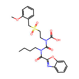 CCCCN(C(=O)c1nc2ccccc2o1)C(=O)N(CCS(=O)(=O)Cc1ccccc1OC)C(=O)O